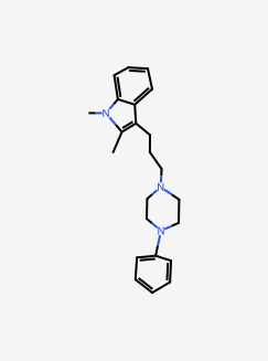 Cc1c(CCCN2CCN(c3ccccc3)CC2)c2ccccc2n1C